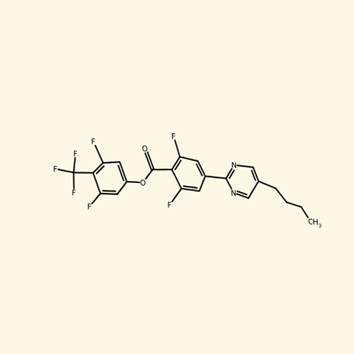 CCCCc1cnc(-c2cc(F)c(C(=O)Oc3cc(F)c(C(F)(F)F)c(F)c3)c(F)c2)nc1